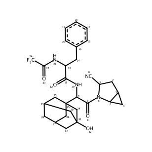 N#CC1CC2CC2N1C(=O)C(NC(=O)C(Cc1ccccc1)NC(=O)C(F)(F)F)C12CC3CC(CC(O)(C3)C1)C2